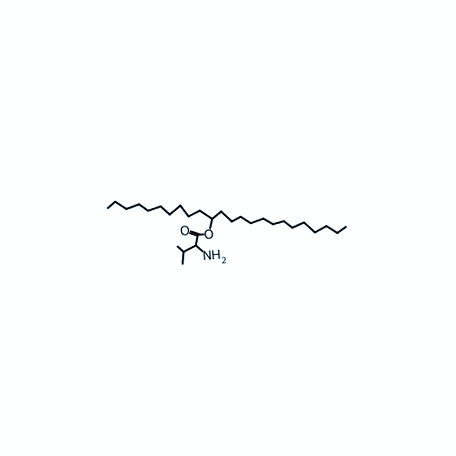 CCCCCCCCCCCCCC(CCCCCCCCCC)OC(=O)C(N)C(C)C